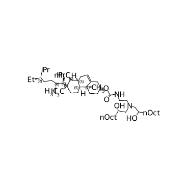 CCCCCCCCC(O)CN(CCNC(=O)O[C@H]1CC[C@@]2(C)C(=CC[C@H]3[C@H](C)[C@@](C)([C@H](CCC)[C@H](C)CC[C@@H](CC)C(C)C)CC[C@@H]32)C1)CC(O)CCCCCCCC